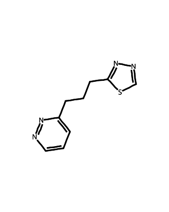 c1cnnc(CCCc2nncs2)c1